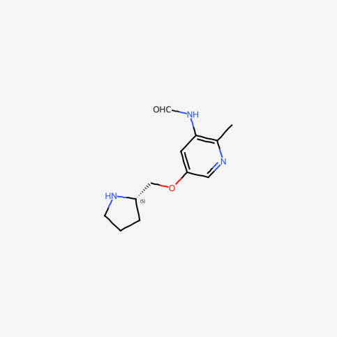 Cc1ncc(OC[C@@H]2CCCN2)cc1NC=O